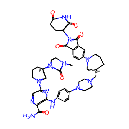 CN1CCN([C@@H]2CCCN(c3cnc(C(N)=O)c(Nc4ccc(N5CCN(C[C@H]6CCCN(c7ccc8c(c7)C(=O)N(C7CCC(=O)NC7=O)C8=O)C6)CC5)cc4)n3)C2)C1=O